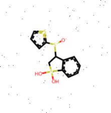 [O-][S+](c1cccs1)C1CS(O)(O)c2ccccc21